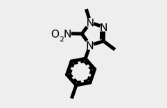 CC1=NN(C)C([N+](=O)[O-])N1c1ccc(C)cc1